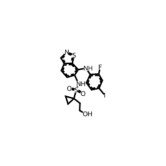 O=S(=O)(Nc1ccc2cnsc2c1Nc1ccc(I)cc1F)C1(CCO)CC1